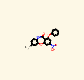 Cc1ccc2c(c1)Oc1cc([N+](=O)O)cc(Oc3ccccc3)c1C(=O)N2